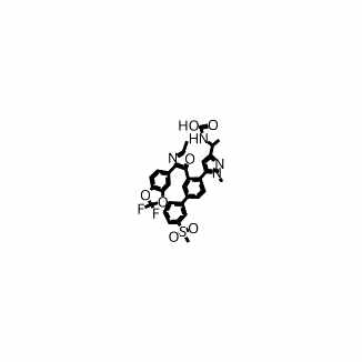 Cc1nc(-c2ccc3c(c2)OC(F)(F)O3)c(-c2cc(-c3cccc(S(C)(=O)=O)c3)ccc2-c2cc(C(C)NC(=O)O)nn2C)o1